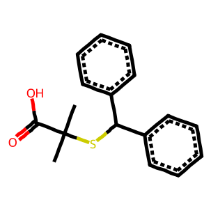 CC(C)(SC(c1ccccc1)c1ccccc1)C(=O)O